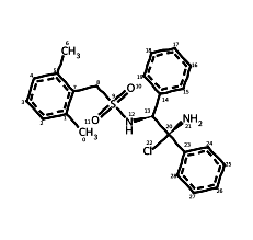 Cc1cccc(C)c1CS(=O)(=O)N[C@@H](c1ccccc1)[C@@](N)(Cl)c1ccccc1